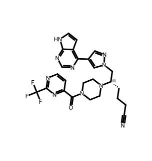 N#CCCC[C@@H](Cn1cc(-c2ncnc3[nH]ccc23)cn1)N1CCN(C(=O)c2ccnc(C(F)(F)F)n2)CC1